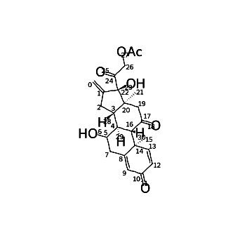 C=C1C[C@H]2[C@@H]3C(O)CC4=CC(=O)C=C[C@]4(C)[C@H]3C(=O)C[C@]2(C)[C@@]1(O)C(=O)COC(C)=O